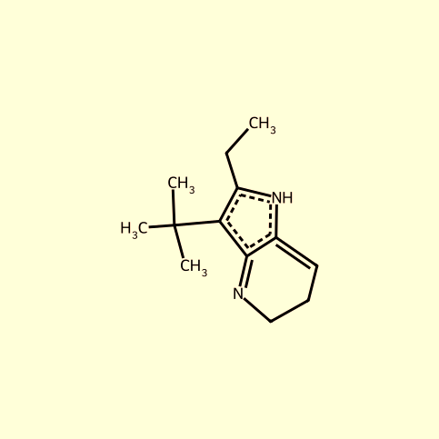 CCc1[nH]c2c(c1C(C)(C)C)=NCCC=2